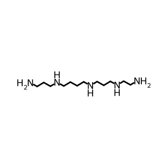 NCCCNCCCCNCCCNCCN